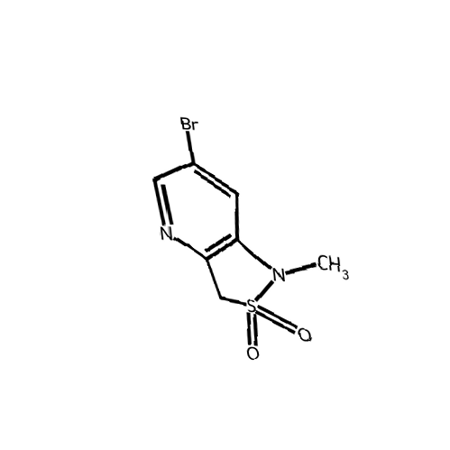 CN1c2cc(Br)cnc2CS1(=O)=O